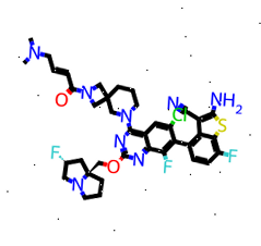 CN(C)C/C=C/C(=O)N1CC2(CCCN(c3nc(OC[C@@]45CCCN4C[C@H](F)C5)nc4c(F)c(-c5ccc(F)c6sc(N)c(C#N)c56)c(Cl)cc34)C2)C1